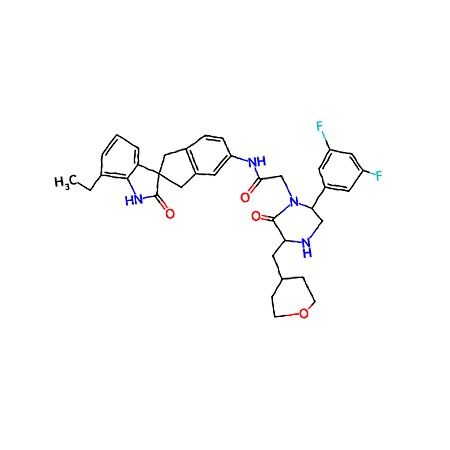 CCc1cccc2c1NC(=O)C21Cc2ccc(NC(=O)CN3C(=O)C(CC4CCOCC4)NCC3c3cc(F)cc(F)c3)cc2C1